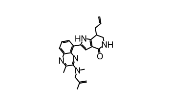 C=CCC1CNC(=O)c2cc(-c3cccc4nc(C)c(N(C)CC(=C)C)nc34)[nH]c21